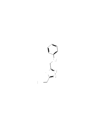 CCc1nnc(CNc2ccccc2)o1